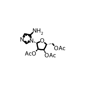 CC(=O)OC[C@H]1O[C@@H](n2cncc2N)[C@H](OC(C)=O)[C@@H]1OC(C)=O